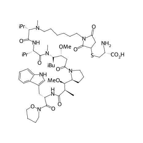 CC[C@H](C)[C@@H]([C@@H](CC(=O)N1CCC[C@H]1[C@H](OC)[C@@H](C)C(=O)N[C@@H](Cc1c[nH]c2ccccc12)C(=O)N1CCCCO1)OC)N(C)C(=O)[C@@H](NC(=O)[C@H](C(C)C)N(C)CCCCCCN1C(=O)CC(SC[C@H](N)C(=O)O)C1=O)C(C)C